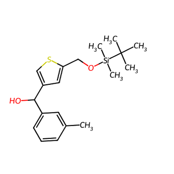 Cc1cccc(C(O)c2csc(CO[Si](C)(C)C(C)(C)C)c2)c1